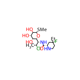 CCC1(F)CCN[C@H](C(=O)N[C@@H]([C@H]2O[C@H](SC)[C@H](O)[C@@H](O)[C@H]2O)[C@H](C)Cl)C1